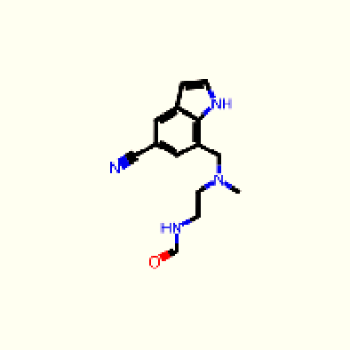 CN(CCNC=O)Cc1cc(C#N)cc2cc[nH]c12